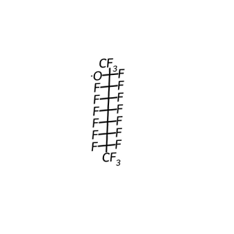 [O]C(F)(C(F)(F)F)C(F)(F)C(F)(F)C(F)(F)C(F)(F)C(F)(F)C(F)(F)C(F)(F)F